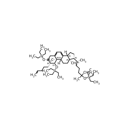 C=CCCC[C@@H]1[C@H](O[Si](CC)(CC)CC)CC2=CC=C3[C@@H]4CC[C@H]([C@H](C)CCCC(C)(C)O[Si](CC)(CC)CC)[C@@]4(C)CC[C@@H]3[C@@]2(C)[C@H]1O[Si](CC)(CC)CC